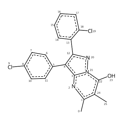 Cc1nc2c(-c3ccc(Cl)cc3)c(-c3ccccc3Cl)nn2c(O)c1C